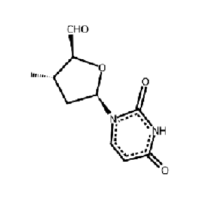 C[C@H]1C[C@H](n2ccc(=O)[nH]c2=O)O[C@@H]1C=O